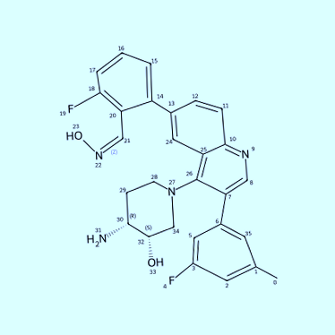 Cc1cc(F)cc(-c2cnc3ccc(-c4cccc(F)c4/C=N\O)cc3c2N2CC[C@@H](N)[C@@H](O)C2)c1